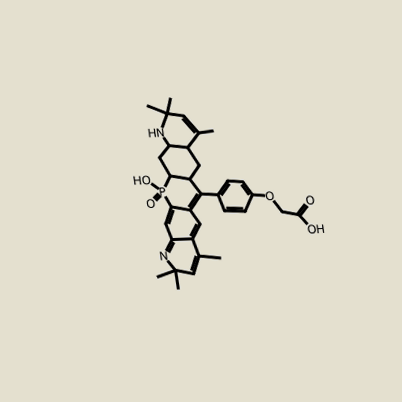 CC1=CC(C)(C)N=c2cc3c(cc21)=C(c1ccc(OCC(=O)O)cc1)C1CC2C(C)=CC(C)(C)NC2CC1P3(=O)O